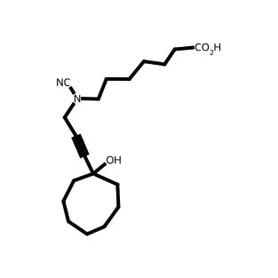 N#CN(CC#CC1(O)CCCCCCC1)CCCCCCC(=O)O